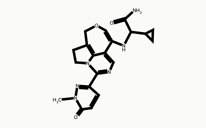 Cn1nc(C2=NC=C3C(NC(C(N)=O)C4CC4)=COCC4=C3N2CC4)ccc1=O